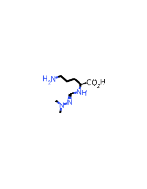 CN(C)N=CN[C@@H](CCCN)C(=O)O